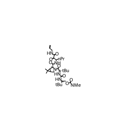 C=CCNC(=O)C(=O)C(CCC)NC(=O)[C@@H]1C2C(CN1C(=O)[C@@H](NC(=O)N[C@@H](COC(=O)NC)C(C)(C)C)C(C)(C)C)C2(C)C